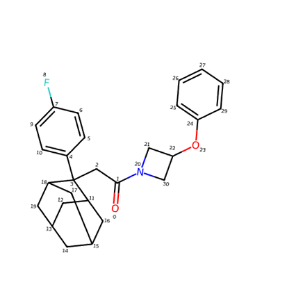 O=C(CC1(c2ccc(F)cc2)C2CC3CC(C2)CC1C3)N1CC(Oc2ccccc2)C1